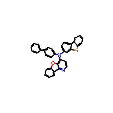 c1ccc(-c2ccc(N(c3ccc4c(c3)sc3ccccc34)c3ccnc4c3oc3ccccc34)cc2)cc1